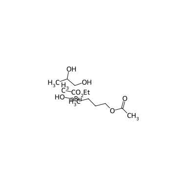 CC(O)CO.CCCCO.CCCCOC(C)=O.CCOC(C)=O